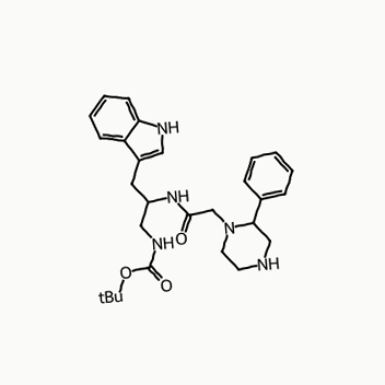 CC(C)(C)OC(=O)NCC(Cc1c[nH]c2ccccc12)NC(=O)CN1CCNCC1c1ccccc1